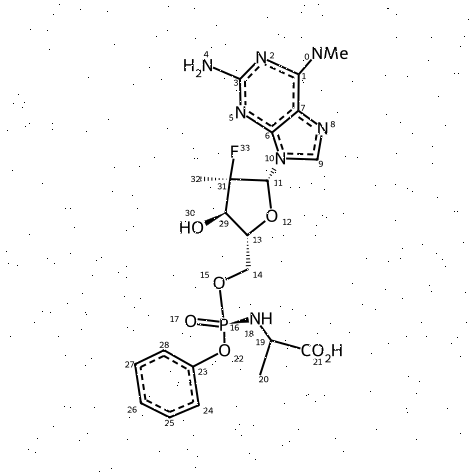 CNc1nc(N)nc2c1ncn2[C@@H]1O[C@H](CO[P@](=O)(NC(C)C(=O)O)Oc2ccccc2)[C@@H](O)[C@@]1(C)F